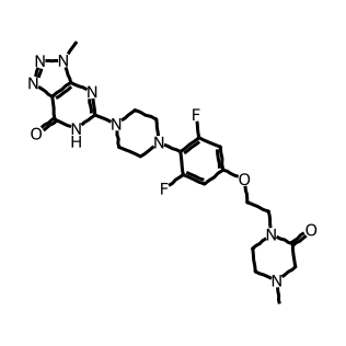 CN1CCN(CCOc2cc(F)c(N3CCN(c4nc5c(nnn5C)c(=O)[nH]4)CC3)c(F)c2)C(=O)C1